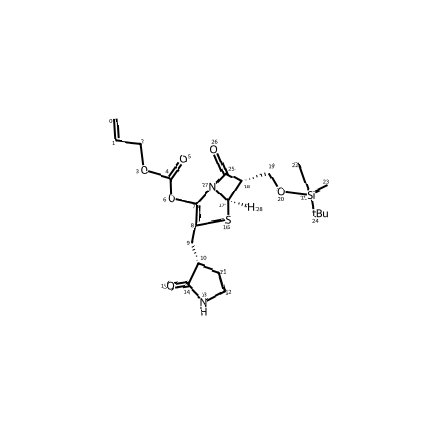 C=CCOC(=O)OC1=C(C[C@@H]2CCNC2=O)S[C@@H]2[C@@H](CO[Si](C)(C)C(C)(C)C)C(=O)N12